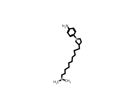 CN(C)CCCCCCCCCCC1CCN(c2ccc(N)cc2)C1